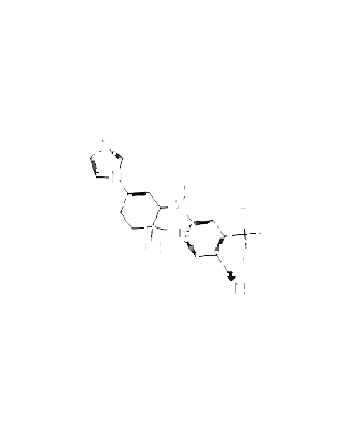 C[As](c1ccc(C#N)c(C(F)(F)F)c1)C1C=C(n2ccnc2)CCC1(C)O